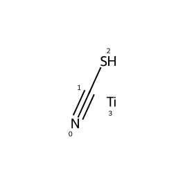 N#CS.[Ti]